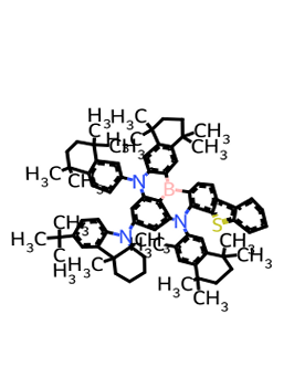 Cc1cc2c(cc1N1c3cc(N4c5ccc(C(C)(C)C)cc5C5(C)CCCCC45C)cc4c3B(c3cc5c(cc3N4c3ccc4c(c3)C(C)(C)CCC4(C)C)C(C)(C)CCC5(C)C)c3ccc4c(sc5ccccc54)c31)C(C)(C)CCC2(C)C